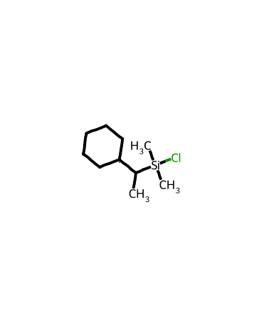 CC([C]1CCCCC1)[Si](C)(C)Cl